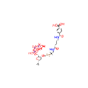 CC(C)(CNC(=O)CCCCNC(=O)c1ccc(B(O)O)cc1)SSCO[C@@H]1C[C@H](C2CC2)OC1COP(=O)(O)OP(=O)(O)OP(=O)(O)O